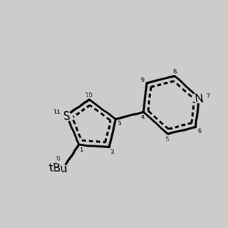 CC(C)(C)c1cc(-c2ccncc2)cs1